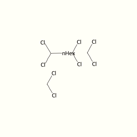 CCCCCCC(Cl)Cl.ClCCl.ClCCl.ClCCl